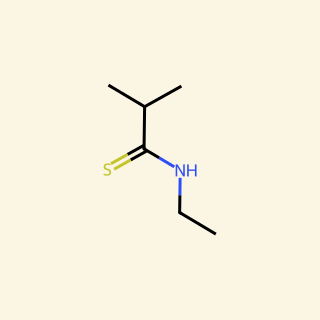 CCNC(=S)C(C)C